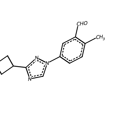 Cc1ccc(-n2cnc(C3CCC3)n2)cc1C=O